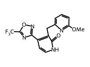 COc1cccc(Cc2c(-c3noc(C(F)(F)F)n3)cc[nH]c2=O)n1